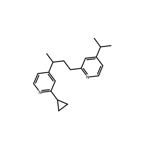 CC(C)c1ccnc(CCC(C)c2ccnc(C3CC3)c2)c1